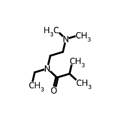 CCN(CCN(C)C)C(=O)C(C)C